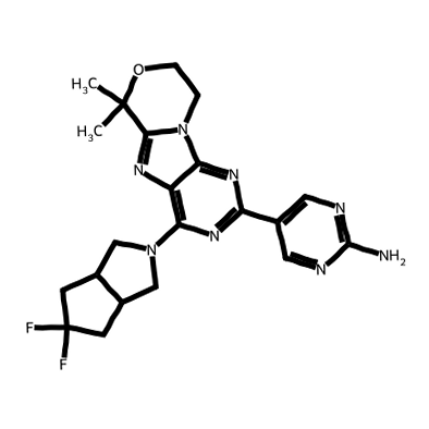 CC1(C)OCCn2c1nc1c(N3CC4CC(F)(F)CC4C3)nc(-c3cnc(N)nc3)nc12